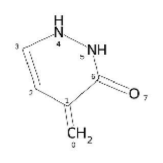 C=C1C=CNNC1=O